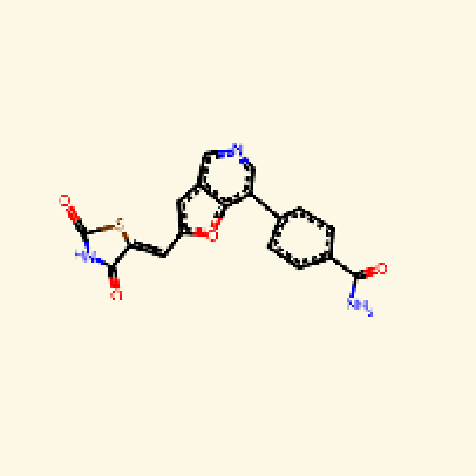 NC(=O)c1ccc(-c2cncc3cc(/C=C4\SC(=O)NC4=O)oc23)cc1